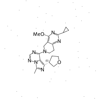 COc1nc(C2CC2)nc2c1CN(c1ncnn3c(C)nc([C@@H]4CCOC4)c13)CC2